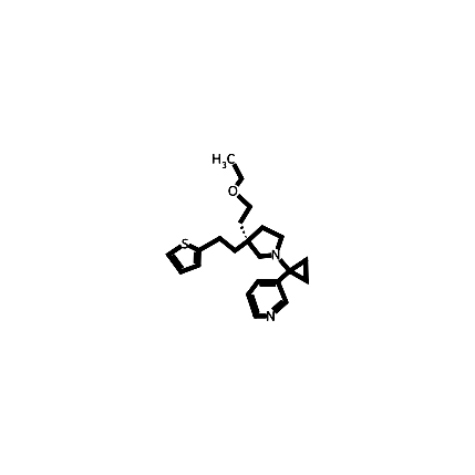 CCOCC[C@]1(CCc2cccs2)CCN(C2(c3cccnc3)CC2)C1